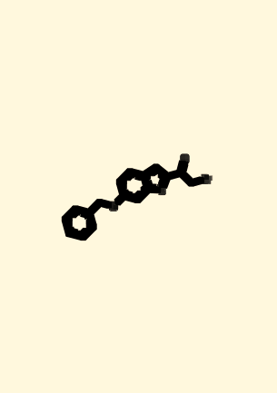 O=C(CBr)c1cc2ccc(OCc3ccccc3)cc2s1